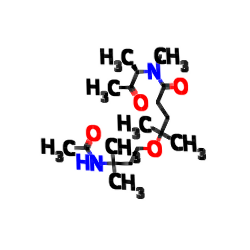 CC(=O)NC(C)(C)CCOC(C)(C)CCC(=O)N(C)[C@H](C)C(C)=O